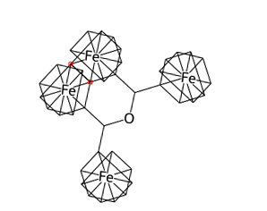 O(C([C]12[CH]3[CH]4[CH]5[CH]1[Fe]45321678[CH]2[CH]1[CH]6[CH]7[CH]28)[C]12[CH]3[CH]4[CH]5[CH]1[Fe]45321678[CH]2[CH]1[CH]6[CH]7[CH]28)C([C]12[CH]3[CH]4[CH]5[CH]1[Fe]45321678[CH]2[CH]1[CH]6[CH]7[CH]28)[C]12[CH]3[CH]4[CH]5[CH]1[Fe]45321678[CH]2[CH]1[CH]6[CH]7[CH]28